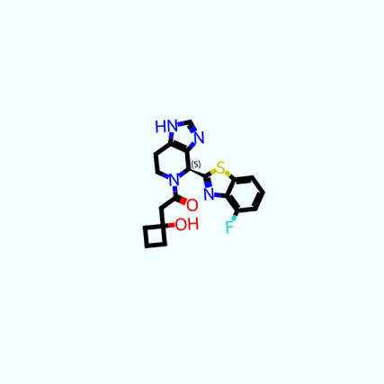 O=C(CC1(O)CCC1)N1CCc2[nH]cnc2[C@H]1c1nc2c(F)cccc2s1